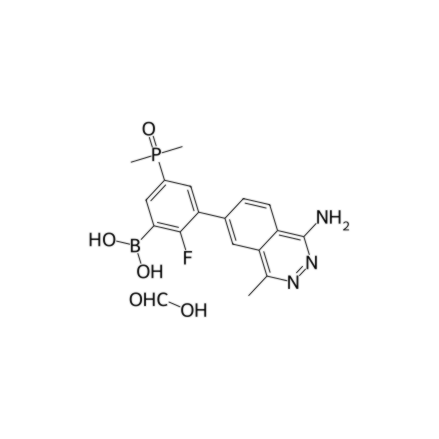 Cc1nnc(N)c2ccc(-c3cc(P(C)(C)=O)cc(B(O)O)c3F)cc12.O=CO